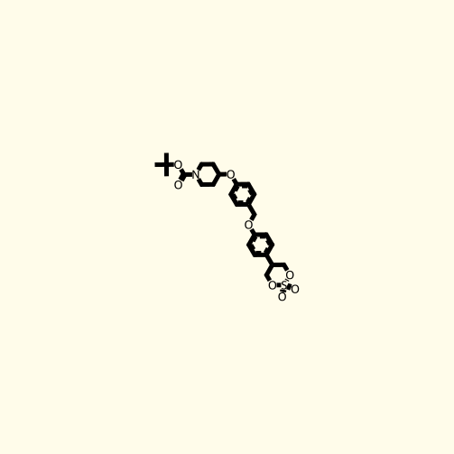 CC(C)(C)OC(=O)N1CCC(Oc2ccc(COc3ccc(C4COS(=O)(=O)OC4)cc3)cc2)CC1